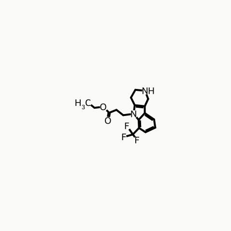 CCOC(=O)CCn1c2c(c3cccc(C(F)(F)F)c31)CNCC2